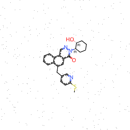 CSc1ccc(Cc2cc3c(=O)n([C@@H]4CCCC[C@H]4O)ncc3c3ccccc23)cn1